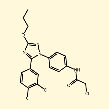 CCCOc1nc(-c2ccc(Cl)c(Cl)c2)n(-c2ccc(NC(=O)CCl)cc2)n1